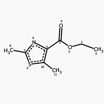 CCOC(=O)c1nc(C)sc1C